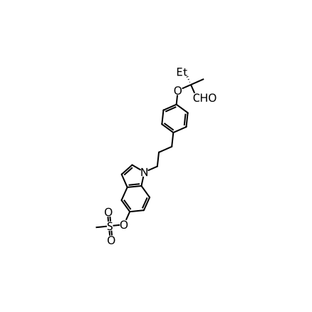 CC[C@](C)(C=O)Oc1ccc(CCCn2ccc3cc(OS(C)(=O)=O)ccc32)cc1